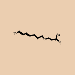 CC=CC=CCCCOCCC(O)O